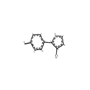 Cc1ccc(-c2sccc2Cl)cc1